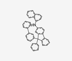 c1ccc(-c2cccc(C3(c4ccccc4)c4ccccc4-c4ccc(Nc5cccc6ccccc56)cc43)c2)cc1